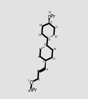 CCCOCC=C[C@H]1CC[C@H]([C@H]2CC[C@H](CCC)CC2)CC1